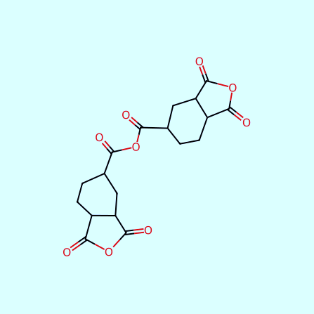 O=C(OC(=O)C1CCC2C(=O)OC(=O)C2C1)C1CCC2C(=O)OC(=O)C2C1